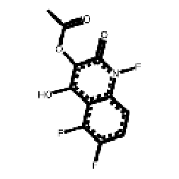 CC(=O)Oc1c(O)c2c(F)c(F)ccc2n(F)c1=O